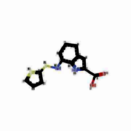 O=C(O)c1cc2cccc(NSc3cccs3)c2[nH]1